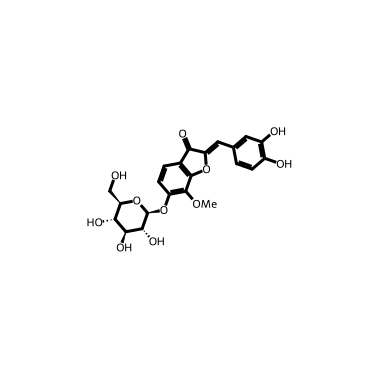 COc1c(O[C@@H]2O[C@H](CO)[C@@H](O)[C@H](O)[C@H]2O)ccc2c1O/C(=C\c1ccc(O)c(O)c1)C2=O